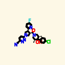 C[C@@H]1CN(C(=O)[C@@H]2CN(c3ccc(C#N)nn3)C[C@H]2c2ccc(F)cn2)C[C@H](C)C1(O)c1ccc(Cl)cc1